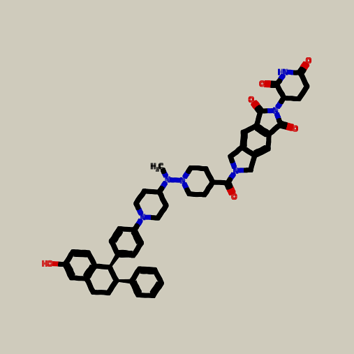 CN(C1CCN(c2ccc([C@@H]3c4ccc(O)cc4CC[C@@H]3c3ccccc3)cc2)CC1)N1CCC(C(=O)N2Cc3cc4c(cc3C2)C(=O)N(C2CCC(=O)NC2=O)C4=O)CC1